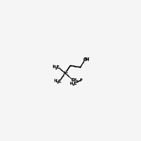 CF.C[N+](C)(C)CCO